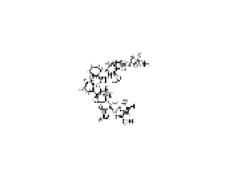 COc1nc(-c2cccc(-c3cccc4c3CC[C@@H]4Oc3nc(OC)c(CN4CC[C@@H]5C[C@@]54C(=O)O)cc3C(F)(F)F)c2Cl)ccc1CN[C@H]1C[C@](C)(O)C1